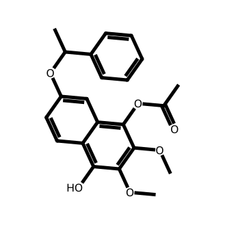 COc1c(OC)c(OC(C)=O)c2cc(OC(C)c3ccccc3)ccc2c1O